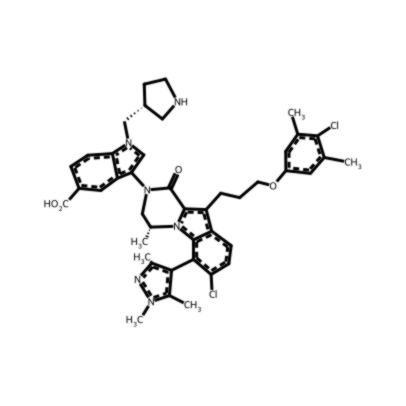 Cc1cc(OCCCc2c3n(c4c(-c5c(C)nn(C)c5C)c(Cl)ccc24)[C@H](C)CN(c2cn(C[C@@H]4CCNC4)c4ccc(C(=O)O)cc24)C3=O)cc(C)c1Cl